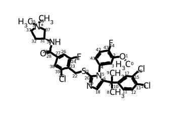 COc1cc(-n2c(C(C)(C)c3ccc(Cl)c(Cl)c3)cnc2SCc2c(F)cc(C(=O)N[C@H]3CC[N+](C)(C)C3)cc2Cl)ccc1F